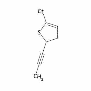 CC#CC1CC=C(CC)S1